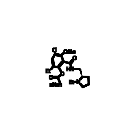 CCCCCCCCCC(=O)Oc1c(CC)cc(Cl)c(OC)c1C(=O)NC[C@@H]1CCCN1CC